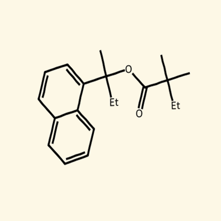 CCC(C)(C)C(=O)OC(C)(CC)c1cccc2ccccc12